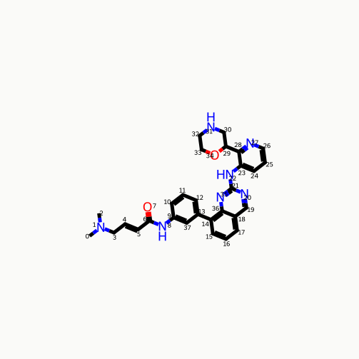 CN(C)C/C=C/C(=O)Nc1cccc(-c2cccc3cnc(Nc4cccnc4C4CNCCO4)nc23)c1